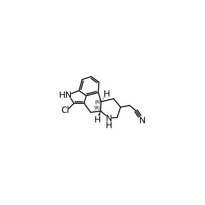 N#CCC1CN[C@@H]2Cc3c(Cl)[nH]c4cccc(c34)[C@H]2C1